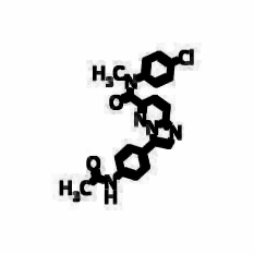 CC(=O)Nc1ccc(-c2cnc3ccc(C(=O)N(C)c4ccc(Cl)cc4)nn23)cc1